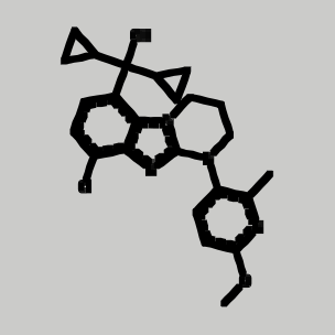 COc1ccc(N2CCCn3c2nc2c(Cl)ccc(C(O)(C4CC4)C4CC4)c23)c(C)n1